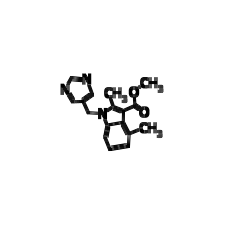 COC(=O)c1c(C)n(Cc2cncnc2)c2cccc(C)c12